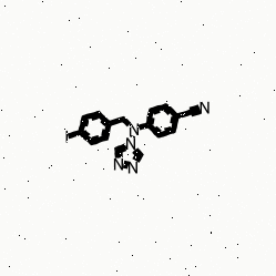 N#Cc1ccc(N(Cc2ccc(I)cc2)n2cnnc2)cc1